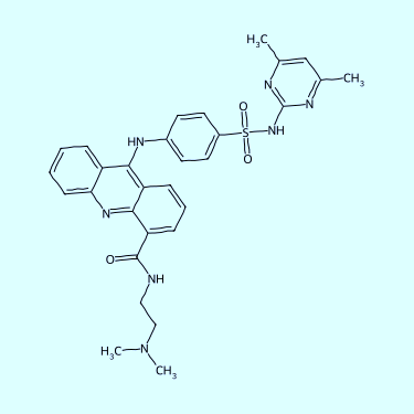 Cc1cc(C)nc(NS(=O)(=O)c2ccc(Nc3c4ccccc4nc4c(C(=O)NCCN(C)C)cccc34)cc2)n1